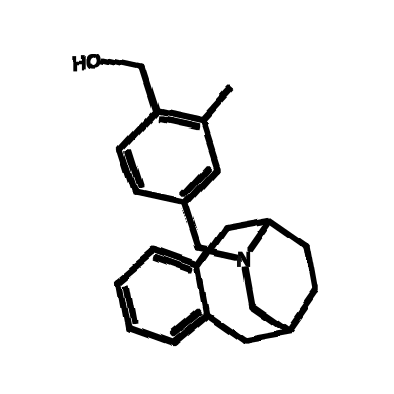 Cc1cc(CN2CC3CCC2Cc2ccccc2C3)ccc1CO